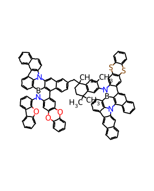 Cc1cc2c(cc1N1B3c4c(cc5ccccc5c4-n4c5cc6ccccc6cc5c5cccc3c54)-c3cc4c(cc31)Sc1ccccc1S4)C(C)(C)CCC2(C)Cc1ccc2c3c4c(cc2c1)-n1c2ccc5ccccc5c2c2cccc(c21)B4N(c1cccc2c1oc1ccccc12)c1cc2c(cc1-3)Oc1ccccc1O2